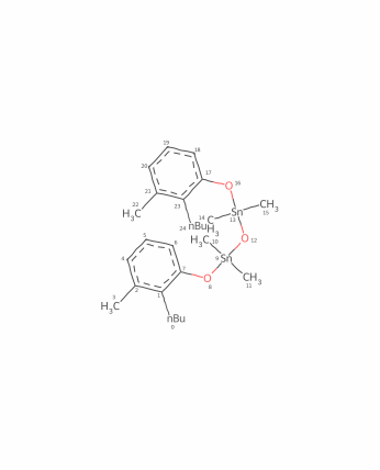 CCCCc1c(C)cccc1[O][Sn]([CH3])([CH3])[O][Sn]([CH3])([CH3])[O]c1cccc(C)c1CCCC